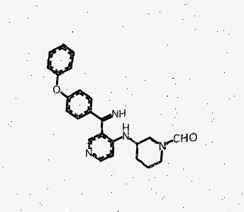 N=C(c1ccc(Oc2ccccc2)cc1)c1cnccc1NC1CCCN(C=O)C1